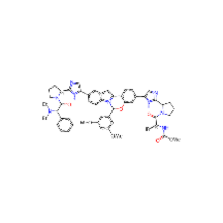 CCN(CC)C(C(=O)N1CCC[C@H]1c1ncc(-c2ccc3c(c2)cc2n3C(c3cc(OC)cc(OC)c3)Oc3cc(-c4cnc(C5CCCN5C(=O)[C@@H](NC(=O)OC)C(C)C)[nH]4)ccc3-2)[nH]1)c1ccccc1